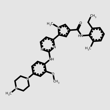 CCc1cccc(C)c1NC(=O)c1cc(-c2ccnc(Nc3ccc(N4CCN(C)CC4)cc3OC)n2)n(C)c1